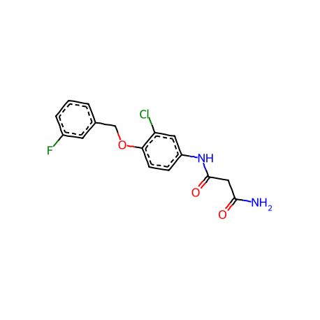 NC(=O)CC(=O)Nc1ccc(OCc2cccc(F)c2)c(Cl)c1